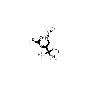 CC(C)(C)C(CN=C=S)NC(=O)O